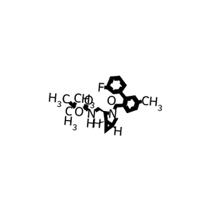 Cc1ccc(C(=O)N2C[C@H]3C[C@H]3[C@H]2CNC(=O)OC(C)(C)C)c(-c2cccc(F)c2)c1